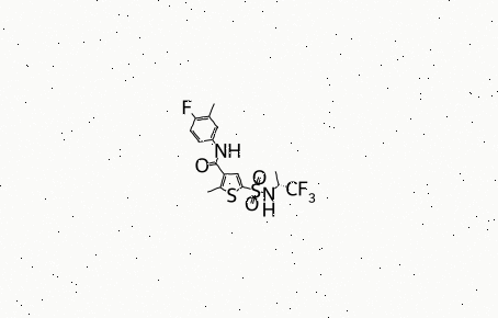 Cc1cc(NC(=O)c2cc(S(=O)(=O)N[C@H](C)C(F)(F)F)sc2C)ccc1F